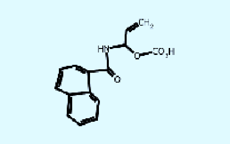 C=CC(NC(=O)c1cccc2ccccc12)OC(=O)O